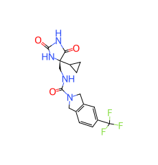 O=C1NC(=O)[C@](CNC(=O)N2Cc3ccc(C(F)(F)F)cc3C2)(C2CC2)N1